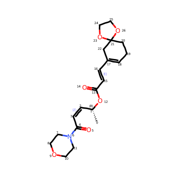 C[C@H](/C=C\C(=O)N1CCOCC1)OC(=O)/C=C/C1=CCCC2(C1)OCCO2